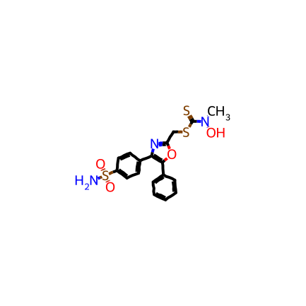 CN(O)C(=S)SCc1nc(-c2ccc(S(N)(=O)=O)cc2)c(-c2ccccc2)o1